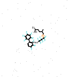 CCCCCCC(F)(F)C(F)(F)C(F)(F)PCC(C)CCC(CC)CCC.Fc1ccc(-c2c(F)c(F)c(F)c(F)c2F)c(F)c1F